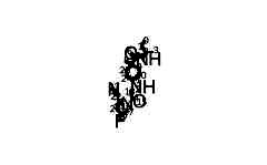 CC[C@@H](C)NC(=O)C1(C)CC=C(NCC(=O)N2C[C@@H](F)C[C@H]2C#N)CC1